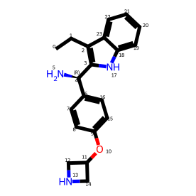 CCc1c([C@H](N)c2ccc(OC3CNC3)cc2)[nH]c2ccccc12